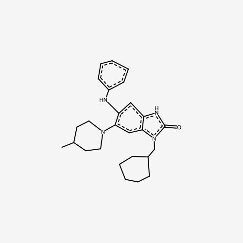 CC1CCN(c2cc3c(cc2Nc2ccccc2)[nH]c(=O)n3CC2CCCCC2)CC1